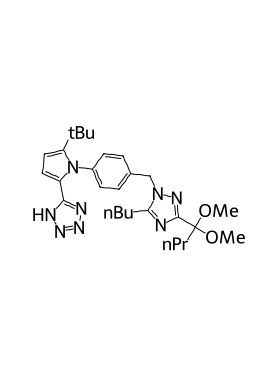 CCCCc1nc(C(CCC)(OC)OC)nn1Cc1ccc(-n2c(-c3nnn[nH]3)ccc2C(C)(C)C)cc1